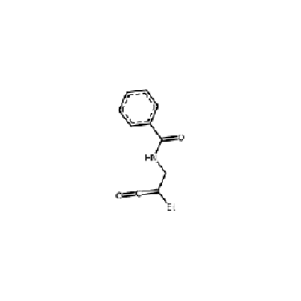 CCC(=C=O)CNC(=O)c1ccccc1